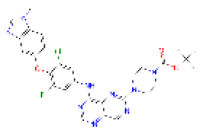 Cn1cnc2cc(Oc3c(F)cc(Nc4ncnc5cnc(N6CCN(C(=O)OC(C)(C)C)CC6)nc45)cc3Cl)ccc21